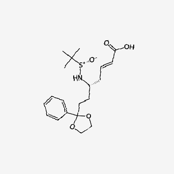 CC(C)(C)[S@+]([O-])N[C@H](C/C=C/C(=O)O)CCC1(c2ccccc2)OCCO1